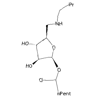 CCCCCC(Cl)O[C@@H]1O[C@H](CNCC(C)C)[C@@H](O)[C@@H]1O